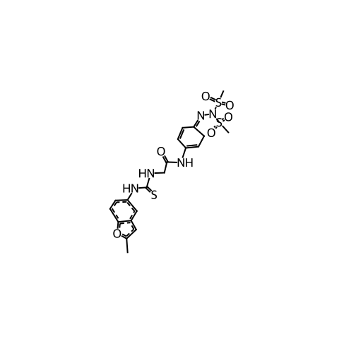 Cc1cc2cc(NC(=S)NCC(=O)NC3=CCC(=NN(S(C)(=O)=O)S(C)(=O)=O)C=C3)ccc2o1